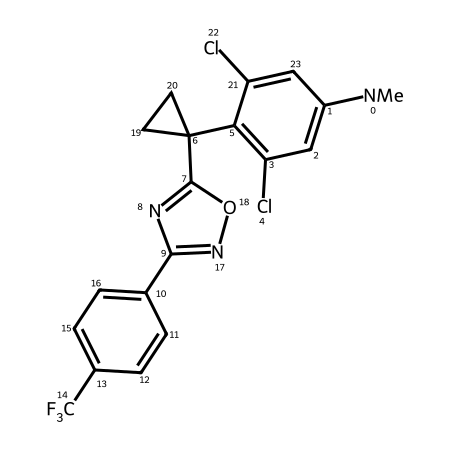 CNc1cc(Cl)c(C2(c3nc(-c4ccc(C(F)(F)F)cc4)no3)CC2)c(Cl)c1